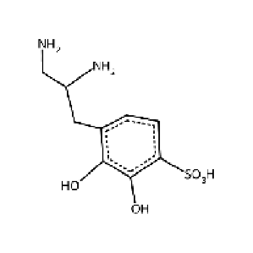 NCC(N)Cc1ccc(S(=O)(=O)O)c(O)c1O